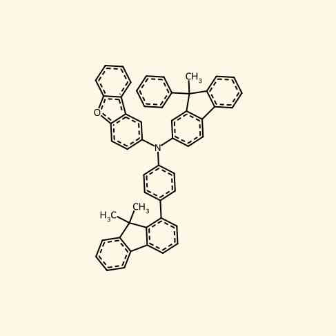 CC1(C)c2ccccc2-c2cccc(-c3ccc(N(c4ccc5c(c4)C(C)(c4ccccc4)c4ccccc4-5)c4ccc5oc6ccccc6c5c4)cc3)c21